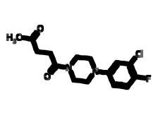 CC(=O)CCC(=O)N1CCN(c2ccc(F)c(Cl)c2)CC1